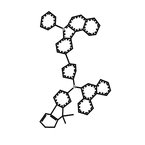 CC1(C)C2=C(C=CCC2)c2ccc(N(c3ccc(-c4ccc5c(c4)c4c6ccccc6ccc4n5-c4ccccc4)cc3)c3cc4ccccc4c4ccccc34)cc21